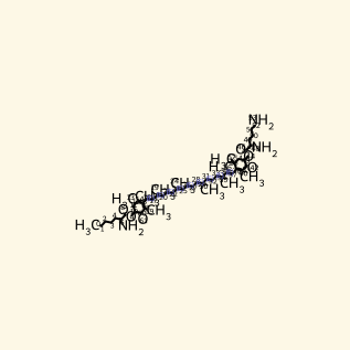 CCCCCC(N)C(=O)OC1CC(C)(C)C(/C=C/C(C)=C/C=C/C(C)=C/C=C/C=C(C)/C=C/C=C(C)/C=C/C2=C(C)C(=O)C(OC(=O)C(N)CCCCN)CC2(C)C)=C(C)C1=O